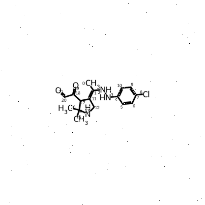 CC(NNc1ccc(Cl)cc1)=C1CNC(C)(C)C1C(=O)C=O